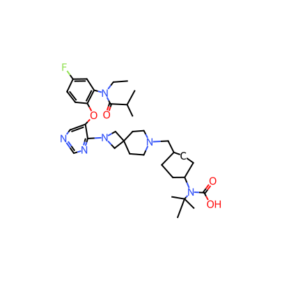 CCN(C(=O)C(C)C)c1cc(F)ccc1Oc1cncnc1N1CC2(CCN(CC3CCC(N(C(=O)O)C(C)(C)C)CC3)CC2)C1